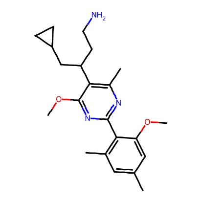 COc1cc(C)cc(C)c1-c1nc(C)c(C(CCN)CC2CC2)c(OC)n1